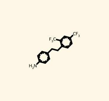 Nc1ccc(CCc2ccc(C(F)(F)F)cc2C(F)(F)F)cc1